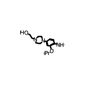 CC(C)Oc1cc(N2CCN(CCO)CC2)ccc1[NH]